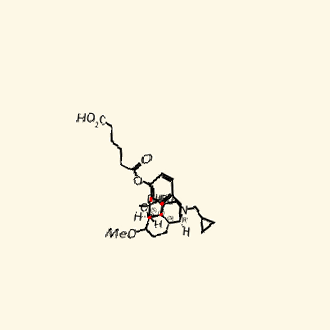 COC12CC[C@@]3(C[C@@H]1[C@](C)(O)C(C)(C)C)[C@H]1Cc4ccc(OC(=O)CCCCC(=O)O)c5c4[C@@]3(CCN1CC1CC1)[C@H]2O5